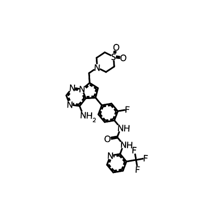 Nc1ncnn2c(CN3CCS(=O)(=O)CC3)cc(-c3ccc(NC(=O)Nc4ncccc4C(F)(F)F)c(F)c3)c12